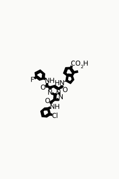 Cc1c(C(=O)O)ccc2c1CC[C@@H]2NC(=O)c1cc(C(=O)Nc2cccc(F)c2)nc2c(C(=O)Nc3ccccc3Cl)cnn12